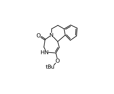 CC(C)(C)OC1=CC2c3ccccc3CCN2C(=O)CN1